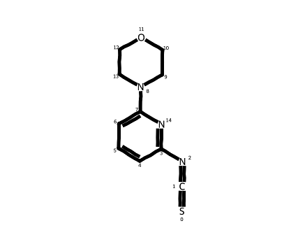 S=C=Nc1cccc(N2CCOCC2)n1